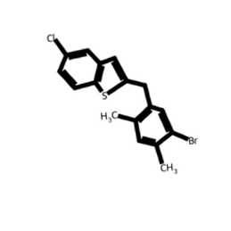 Cc1cc(C)c(Cc2cc3cc(Cl)ccc3s2)cc1Br